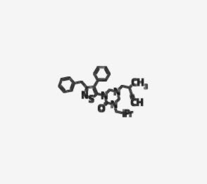 C#CC(C)CN1CN(CC(C)C)C(=O)N(c2snc(Cc3ccccc3)c2-c2ccccc2)C1